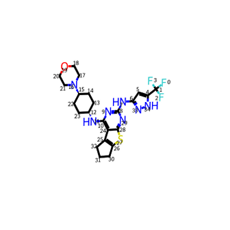 FC(F)(F)c1cc(Nc2nc(N[C@H]3CC[C@H](N4CCOCC4)CC3)c3c4c(sc3n2)CCC4)n[nH]1